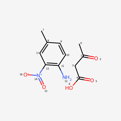 CC(=O)CC(=O)O.Cc1ccc(N)c([N+](=O)[O-])c1